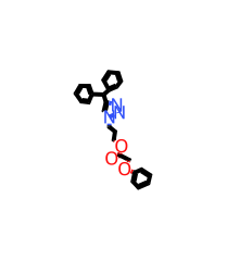 O=C(COc1ccccc1)OCCCn1cc(C(c2ccccc2)c2ccccc2)nn1